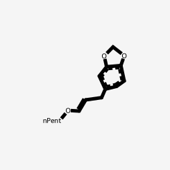 CCCCCOC=CCc1ccc2c(c1)OCO2